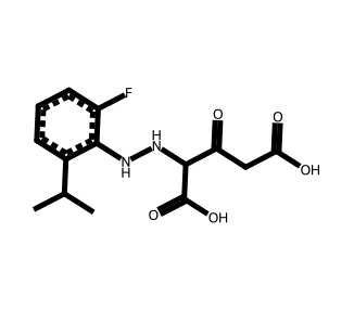 CC(C)c1cccc(F)c1NNC(C(=O)O)C(=O)CC(=O)O